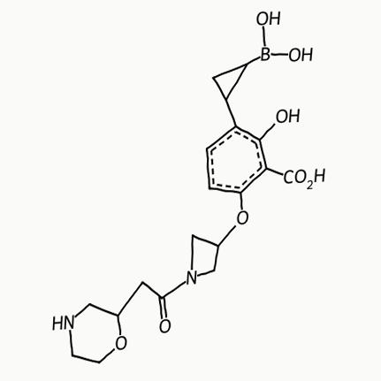 O=C(O)c1c(OC2CN(C(=O)CC3CNCCO3)C2)ccc(C2CC2B(O)O)c1O